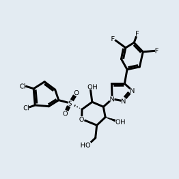 O=S(=O)(c1ccc(Cl)c(Cl)c1)[C@H]1OC(CO)[C@H](O)C(n2cc(-c3cc(F)c(F)c(F)c3)nn2)C1O